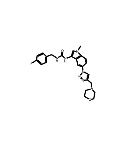 Cn1cc(NC(=O)NCc2ccc(F)cc2)c2cc(-n3cc(CN4CCOCC4)nn3)ccc21